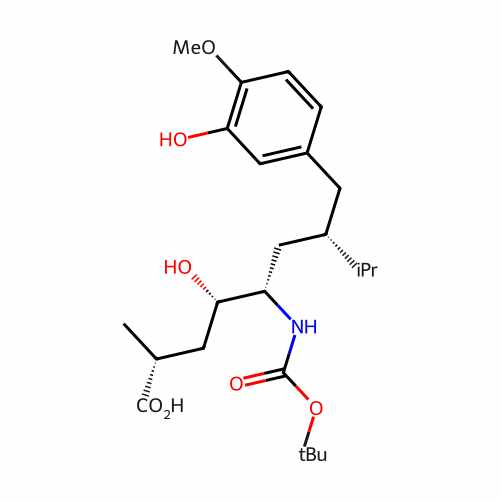 COc1ccc(C[C@@H](C[C@H](NC(=O)OC(C)(C)C)[C@@H](O)C[C@@H](C)C(=O)O)C(C)C)cc1O